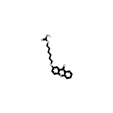 BC(=O)OCCCCCCOc1ccc2sc3ccccc3c(=O)c2c1